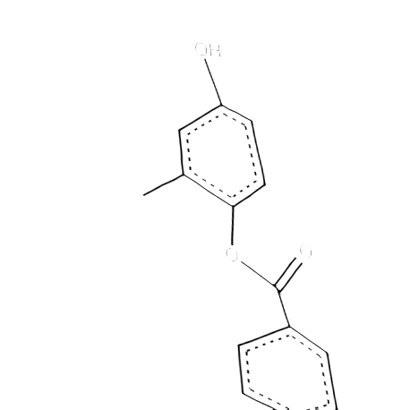 [CH2]c1cc(O)ccc1OC(=O)c1ccccc1